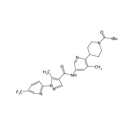 Cc1cc(NC(=O)c2cnn(-c3ccc(C(F)(F)F)cn3)c2C)cnc1C1CCN(C(=O)C(C)(C)C)CC1